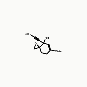 CCCCC#CC1(O)C=C(OC)CCC12CO2